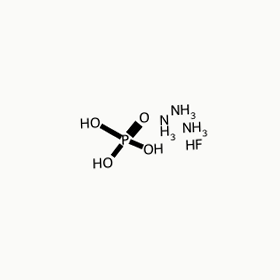 F.N.N.N.O=P(O)(O)O